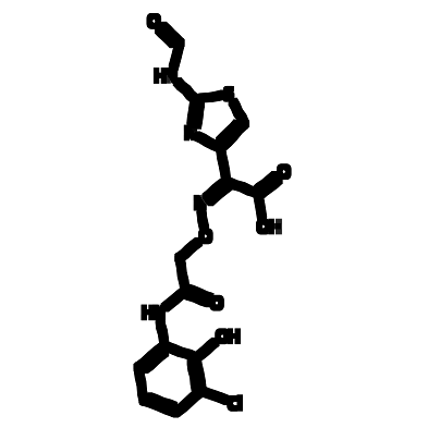 O=CNc1nc(C(=NOCC(=O)Nc2cccc(Cl)c2O)C(=O)O)cs1